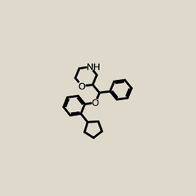 c1ccc(C(Oc2ccccc2C2CCCC2)C2CNCCO2)cc1